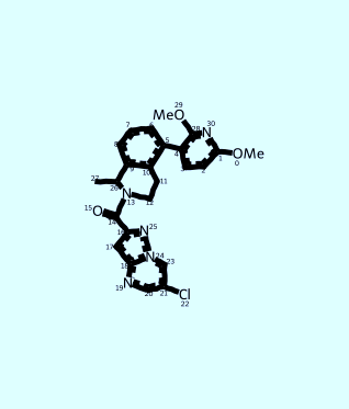 COc1ccc(-c2cccc3c2CCN(C(=O)c2cc4ncc(Cl)cn4n2)C3C)c(OC)n1